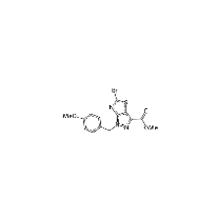 COC(=O)c1nn(Cc2ccc(OC)cc2)c2nc(Br)sc12